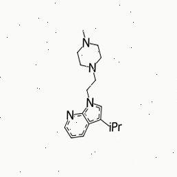 CC(C)c1cn(CCN2CCN(C)CC2)c2ncccc12